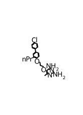 CCCc1cc(-c2ccc(Cl)cc2)ccc1OCCCOc1c(C)nc(N)nc1N